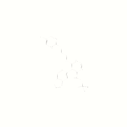 CC1(SNc2ncnc(OCCOc3ncc(Br)cn3)c2-c2ccc3c(c2)OCO3)CC1